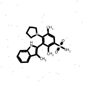 Cc1cc(S(N)(=O)=O)c(C)c(-c2[nH]c3ccccc3c2C)c1N1CCCC1